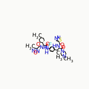 Cc1nonc1C(=O)N[C@H](C(=O)Nc1ccc([C@H](C)[C@@H](NC(=O)c2cnns2)C(=O)N2CCN(C)CC2)cc1F)[C@H]1CC[C@H](C)CC1